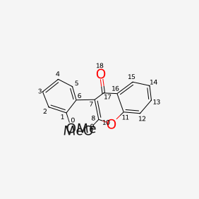 COc1ccccc1-c1c(OC)oc2ccccc2c1=O